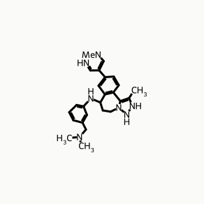 CN/C=C(\C=N)c1ccc2c(c1)C(Nc1cccc(CN(C)C)c1)CCN1NNC(C)=C21